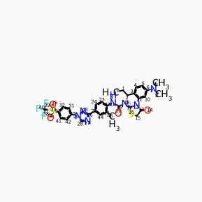 CCCc1ccc(N(C)C)cc1N1C(=O)CS/C1=N\C(=O)Nc1ccc(-c2ncn(-c3ccc(S(=O)(=O)C(F)(F)F)cc3)n2)cc1C